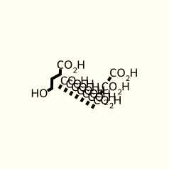 CC(=O)O.CC(=O)O.CC(=O)O.CC(=O)O.CC(=O)O.CC(=O)O.CC(=O)O.CC(=O)O.CC(=O)O.O=C(O)CCCO